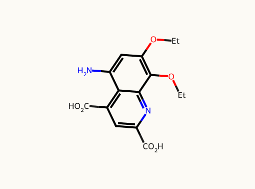 CCOc1cc(N)c2c(C(=O)O)cc(C(=O)O)nc2c1OCC